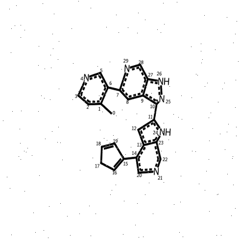 Cc1ccncc1-c1cc2c(-c3cc4c(C5=CCC=C5)cncc4[nH]3)n[nH]c2cn1